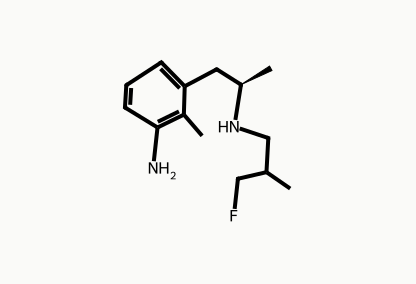 Cc1c(N)cccc1C[C@@H](C)NCC(C)CF